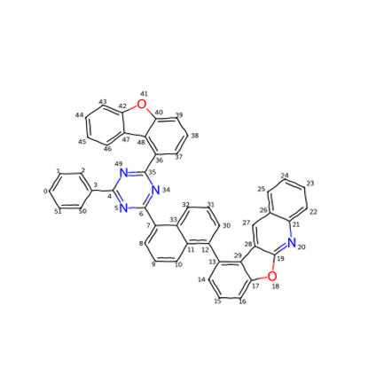 c1ccc(-c2nc(-c3cccc4c(-c5cccc6oc7nc8ccccc8cc7c56)cccc34)nc(-c3cccc4oc5ccccc5c34)n2)cc1